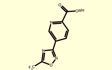 COC(=O)c1ccc(-c2noc(C(F)(F)F)n2)cn1